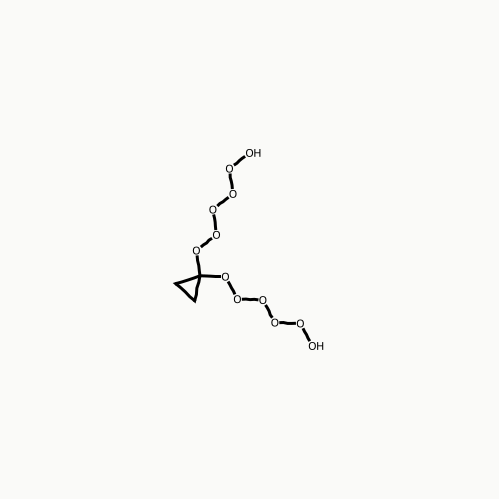 OOOOOOC1(OOOOOO)CC1